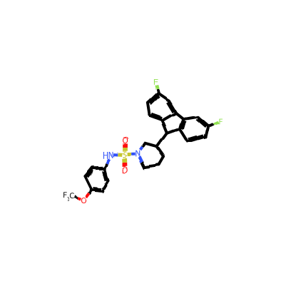 O=S(=O)(Nc1ccc(OC(F)(F)F)cc1)N1CCCC(C2c3ccc(F)cc3-c3cc(F)ccc32)C1